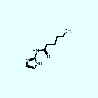 CCCCCC(=O)Nc1n[c]c[nH]1